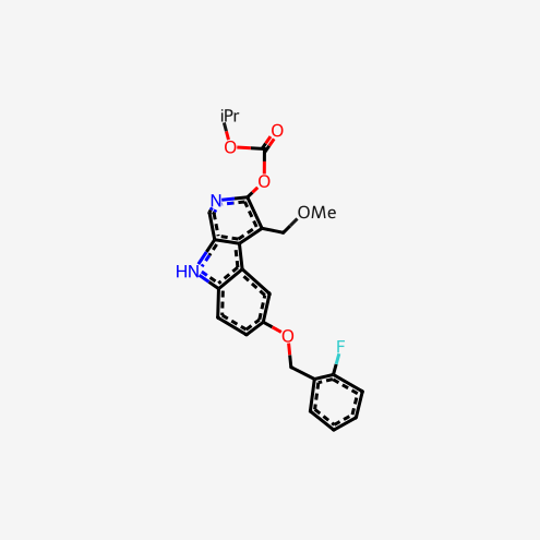 COCc1c(OC(=O)OC(C)C)ncc2[nH]c3ccc(OCc4ccccc4F)cc3c12